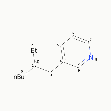 CCCC[C@H](CC)Cc1cccnc1